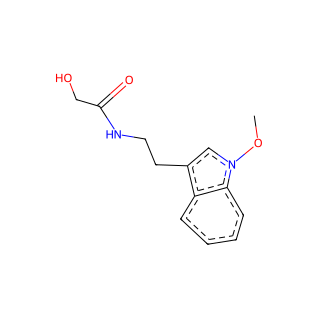 COn1cc(CCNC(=O)CO)c2ccccc21